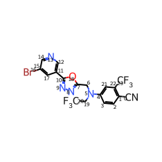 N#Cc1ccc(N(Cc2nnc(-c3cncc(Br)c3)o2)CC(F)(F)F)cc1C(F)(F)F